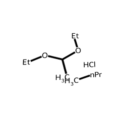 CCCC.CCOC(C)OCC.Cl